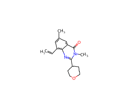 C=Cc1cc(C)cc2c(=O)n(C)c(C3CCOCC3)nc12